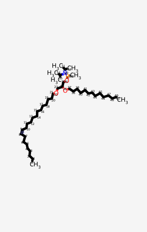 CCCCCCCC/C=C\CCCCCCCCCCCCOCC(COP(C)N(C(C)C)C(C)C)OCCCCCCCCCCCCCC